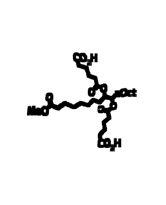 CCCCCCCCC(OC(=O)CCCCC(=O)O)C(CCCCCCCC(=O)OC)OC(=O)CCCCC(=O)O